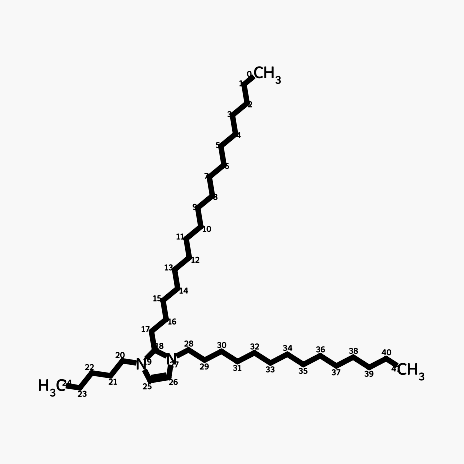 CCCCCCCCCCCCCCCCCCC1N(CCCCC)C=CN1CCCCCCCCCCCCCC